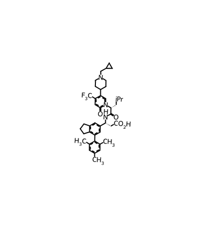 Cc1cc(C)c(-c2cc([C@@H](CC(=O)O)NC(=O)[C@@H](CC(C)C)n3cc(C4CCN(CC5CC5)CC4)c(C(F)(F)F)cc3=O)cc3c2CCC3)c(C)c1